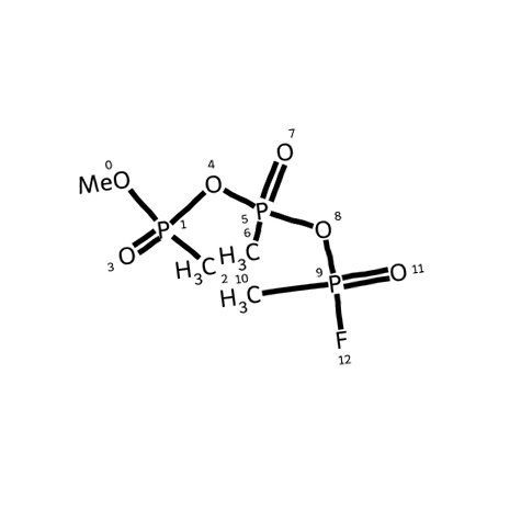 COP(C)(=O)OP(C)(=O)OP(C)(=O)F